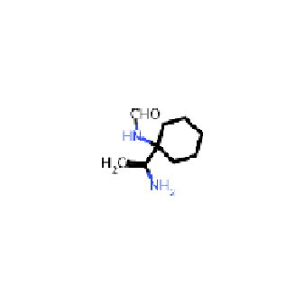 C=C(N)C1(NC=O)CCCCC1